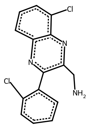 NCc1nc2c(Cl)cccc2nc1-c1ccccc1Cl